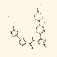 CN1CCN(c2ccc(-c3nn(C)cc3NC(=O)c3ccc(-c4cn[nH]c4)o3)nc2)CC1